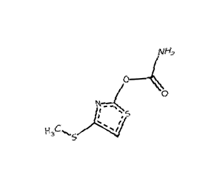 CSc1csc(OC(N)=O)n1